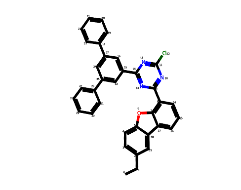 CCc1ccc2oc3c(-c4nc(Cl)nc(-c5cc(-c6ccccc6)cc(-c6ccccc6)c5)n4)cccc3c2c1